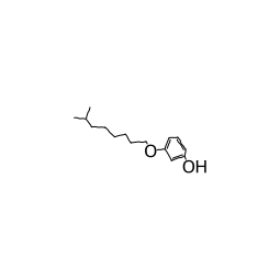 CC(C)CCCCCCOc1cccc(O)c1